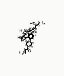 NCC(=O)N1CCN(c2ccc(S(=O)(=O)NC[C@H](O)CN)c(S(N)(=O)=O)c2-c2nn[nH]n2)CC1